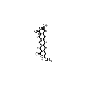 CCCCCCCCCCCCO.O=C(O)CCSSSCCC(=O)O